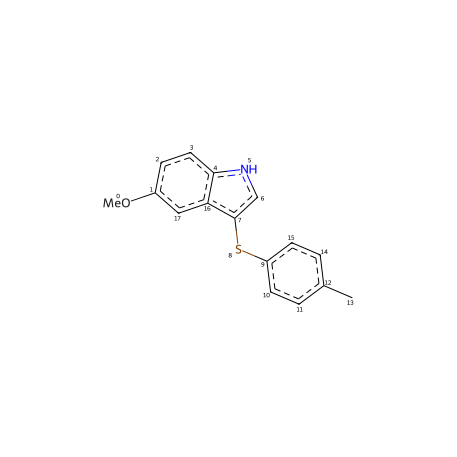 COc1ccc2[nH]cc(Sc3ccc(C)cc3)c2c1